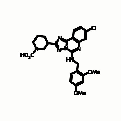 COc1ccc(CNc2nc3cc(Cl)ccc3c3nc(C4CCCN(C(=O)O)C4)nn23)c(OC)c1